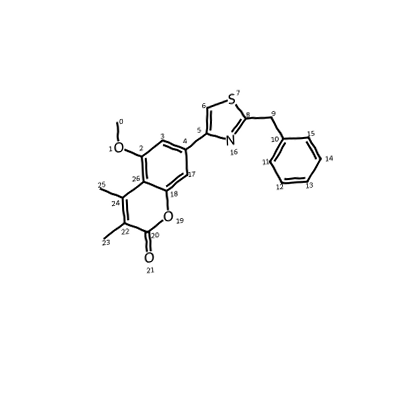 COc1cc(-c2csc(Cc3ccccc3)n2)cc2oc(=O)c(C)c(C)c12